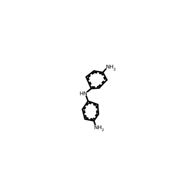 Nc1ccc(Nc2ccc(N)cc2)cc1